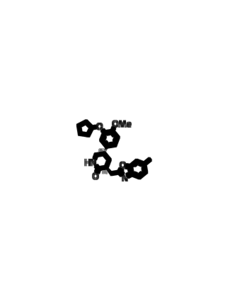 COc1ccc([C@H]2CNC(=O)[C@H](Cc3nc4ccc(C)cc4o3)C2)cc1OC1CCCC1